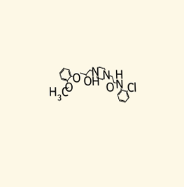 COc1ccccc1OCC(O)CN1CCN(CC(=O)Nc2ccccc2Cl)CC1